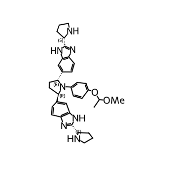 COC(C)Oc1ccc(N2[C@@H](c3ccc4nc([C@@H]5CCCN5)[nH]c4c3)CC[C@@H]2c2ccc3nc([C@@H]4CCCN4)[nH]c3c2)cc1